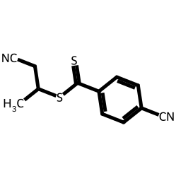 CC(CC#N)SC(=S)c1ccc(C#N)cc1